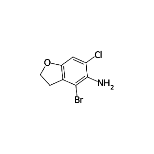 Nc1c(Cl)cc2c(c1Br)CCO2